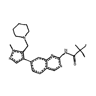 Cn1ncc(-c2ccc3cnc(NC(=O)C(C)(C)F)nc3c2)c1CN1CCCCC1